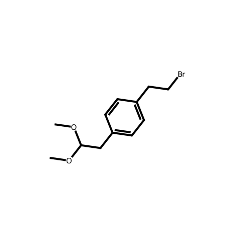 COC(Cc1ccc(CCBr)cc1)OC